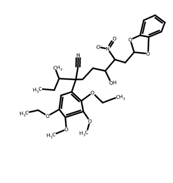 CCOc1cc(C(C#N)(CCC(O)C(CC2Oc3ccccc3O2)[N+](=O)[O-])C(C)CC)c(OCC)c(OC)c1OC